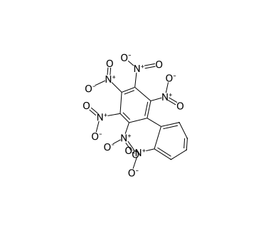 O=[N+]([O-])c1ccccc1-c1c([N+](=O)[O-])c([N+](=O)[O-])c([N+](=O)[O-])c([N+](=O)[O-])c1[N+](=O)[O-]